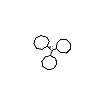 C1CCCC([SiH](C2CCCCCCC2)C2CCCCCCC2)CCC1